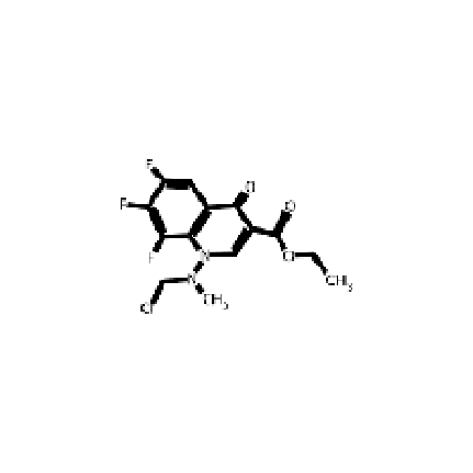 CCOC(=O)c1cn(N(C)CCl)c2c(F)c(F)c(F)cc2c1=O